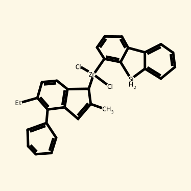 CCc1ccc2c(c1-c1ccccc1)C=C(C)[CH]2[Zr]([Cl])([Cl])[c]1cccc2c1[SiH2]c1ccccc1-2